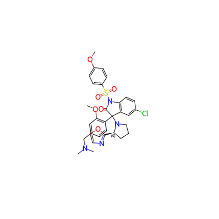 COc1ccc(S(=O)(=O)N2C(=O)C(c3ccc(CN(C)C)cc3OC)(N3CCC[C@H]3c3ncco3)c3cc(Cl)ccc32)cc1